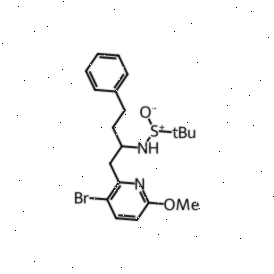 COc1ccc(Br)c(CC(CCc2ccccc2)N[S+]([O-])C(C)(C)C)n1